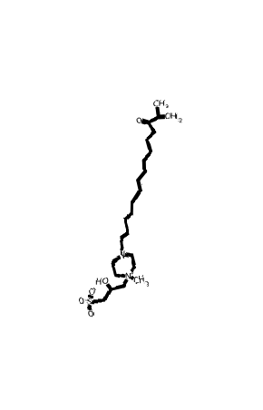 C=C(C)C(=O)CCCCCCCCCCCCN1CC[N+](C)(CC(O)CS(=O)(=O)[O-])CC1